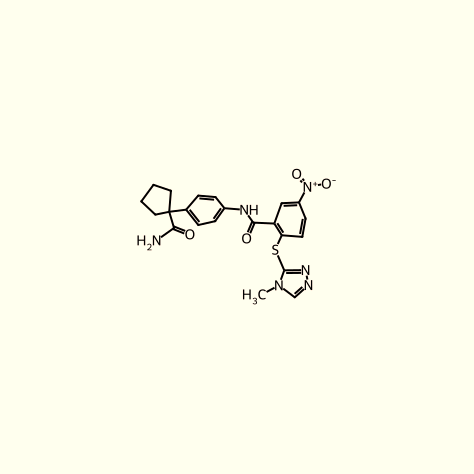 Cn1cnnc1Sc1ccc([N+](=O)[O-])cc1C(=O)Nc1ccc(C2(C(N)=O)CCCC2)cc1